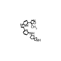 Cc1oncc1-c1ccc2ncc(-c3cccc(NC4CCC5(CNC5)C4)n3)n2n1